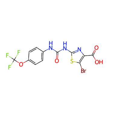 O=C(Nc1ccc(OC(F)(F)F)cc1)Nc1nc(C(=O)O)c(Br)s1